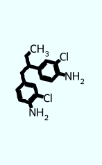 CCC(Cc1ccc(N)c(Cl)c1)c1ccc(N)c(Cl)c1